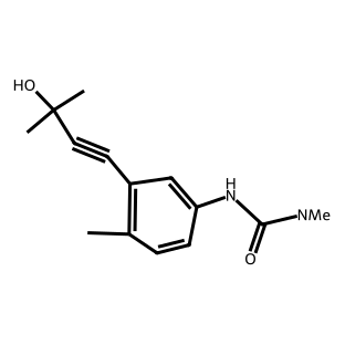 CNC(=O)Nc1ccc(C)c(C#CC(C)(C)O)c1